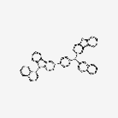 c1ccc2cc(N(c3ccc(-c4ccc5c(c4)c4ccccc4n5-c4cccc5ccccc45)cc3)c3ccc4oc5ccccc5c4c3)ccc2c1